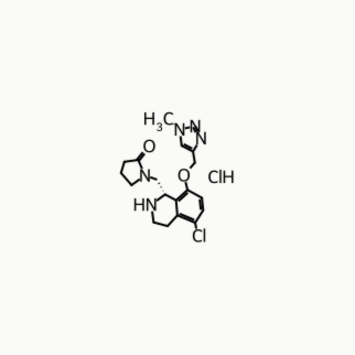 Cl.Cn1cc(COc2ccc(Cl)c3c2[C@@H](CN2CCCC2=O)NCC3)nn1